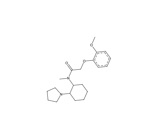 COc1ccccc1OCC(=O)N(C)C1CCCCC1N1CCCC1